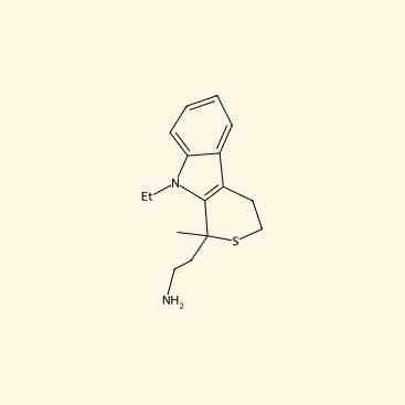 CCn1c2c(c3ccccc31)CCSC2(C)CCN